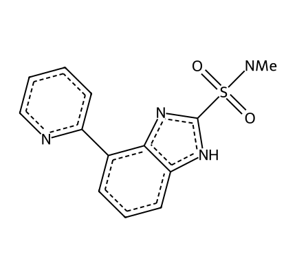 CNS(=O)(=O)c1nc2c(-c3ccccn3)cccc2[nH]1